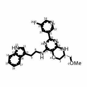 COC[C@@H]1COc2c(NCCc3c[nH]c4ccccc34)nc(-c3cncc(F)c3)nc2N1